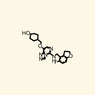 OC1CCC(COc2cnc(NCc3c(F)ccc4c3CCO4)n3cnnc23)CC1